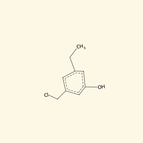 CCc1cc(O)cc(CCl)c1